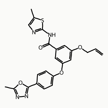 C=CCOc1cc(Oc2ccc(-c3nnc(C)o3)cc2)cc(C(=O)Nc2ncc(C)s2)c1